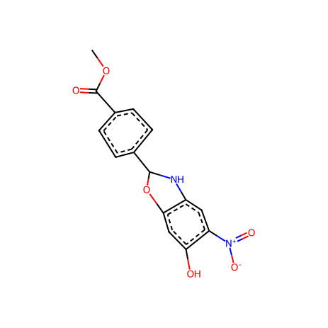 COC(=O)c1ccc(C2Nc3cc([N+](=O)[O-])c(O)cc3O2)cc1